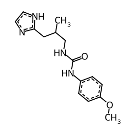 COc1ccc(NC(=O)NCC(C)Cc2ncc[nH]2)cc1